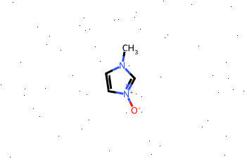 Cn1cc[n+]([O-])c1